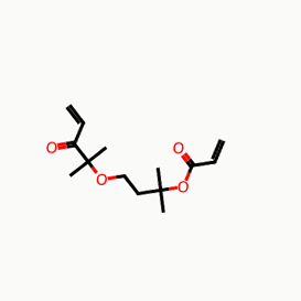 C=CC(=O)OC(C)(C)CCOC(C)(C)C(=O)C=C